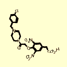 O=C(O)Cc1cc([N+](=O)[O-])c(OCC(=O)N2CCN(Cc3ccc(Cl)cc3)CC2)c([N+](=O)[O-])c1